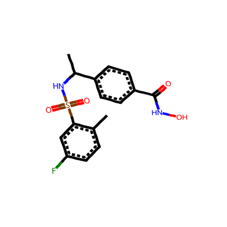 Cc1ccc(F)cc1S(=O)(=O)NC(C)c1ccc(C(=O)NO)cc1